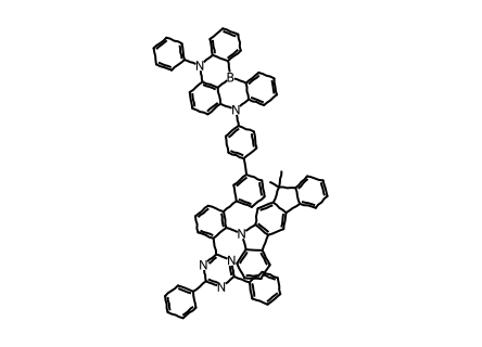 CC1(C)c2ccccc2-c2cc3c4ccccc4n(-c4c(-c5cccc(-c6ccc(N7c8ccccc8B8c9ccccc9N(c9ccccc9)c9cccc7c98)cc6)c5)cccc4-c4nc(-c5ccccc5)nc(-c5ccccc5)n4)c3cc21